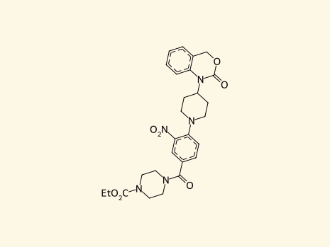 CCOC(=O)N1CCN(C(=O)c2ccc(N3CCC(N4C(=O)OCc5ccccc54)CC3)c([N+](=O)[O-])c2)CC1